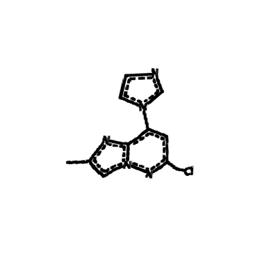 Cc1cn2nc(Cl)cc(-n3ccnc3)c2n1